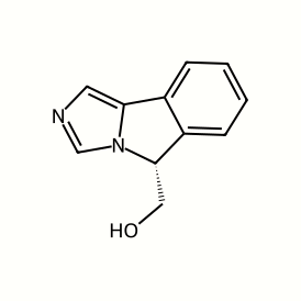 OC[C@H]1c2ccccc2-c2cncn21